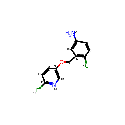 Nc1ccc(Cl)c(COc2ccc(F)nc2)c1